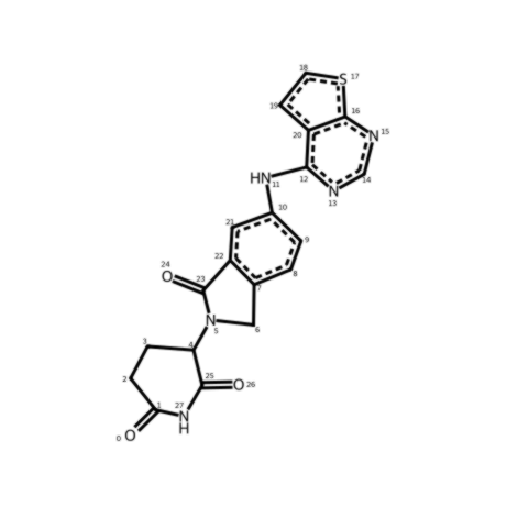 O=C1CCC(N2Cc3ccc(Nc4ncnc5sccc45)cc3C2=O)C(=O)N1